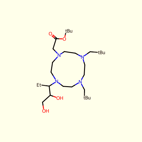 CCC(C(O)CO)N1CCN(CC(=O)OC(C)(C)C)CCN(CC(C)(C)C)CCN(CC(C)(C)C)CC1